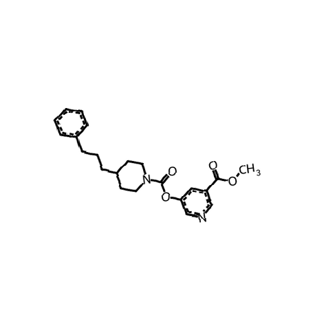 COC(=O)c1cncc(OC(=O)N2CCC(CCCc3ccccc3)CC2)c1